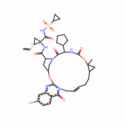 C=C[C@@H]1C[C@]1(NC(=O)C1CC2CN1C(=O)C(C1CCCC1)NC(=O)OC1(C)CC1CC/C=C/Cn1c(nc3cc(Cl)ccc3c1=O)O2)C(=O)NS(=O)(=O)C1CC1